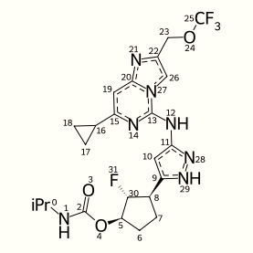 CC(C)NC(=O)O[C@@H]1CC[C@H](c2cc(Nc3nc(C4CC4)cc4nc(COC(F)(F)F)cn34)n[nH]2)[C@H]1F